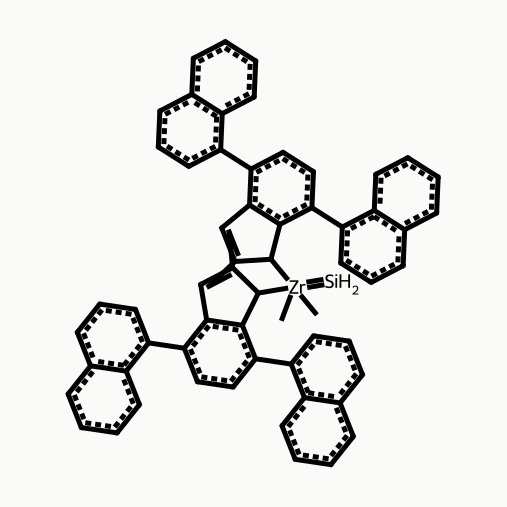 CC1=Cc2c(-c3cccc4ccccc34)ccc(-c3cccc4ccccc34)c2[CH]1[Zr]([CH3])([CH3])(=[SiH2])[CH]1C(C)=Cc2c(-c3cccc4ccccc34)ccc(-c3cccc4ccccc34)c21